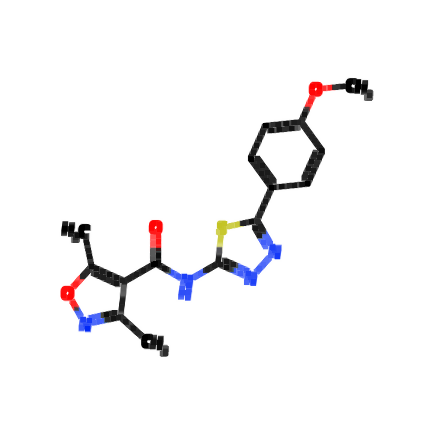 COc1ccc(-c2nnc(NC(=O)c3c(C)noc3C)s2)cc1